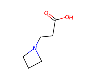 O=C(O)CCN1CCC1